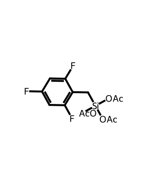 CC(=O)O[Si](Cc1c(F)cc(F)cc1F)(OC(C)=O)OC(C)=O